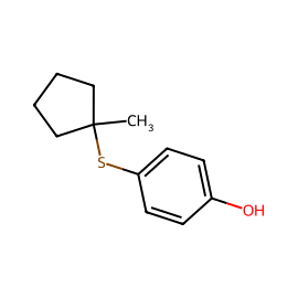 CC1(Sc2ccc(O)cc2)CCCC1